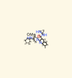 CO[C@@H]1CN(c2nc3ccccc3cc2C(=O)NC(C)=N)CC[C@@H]1NC1CCCCC1